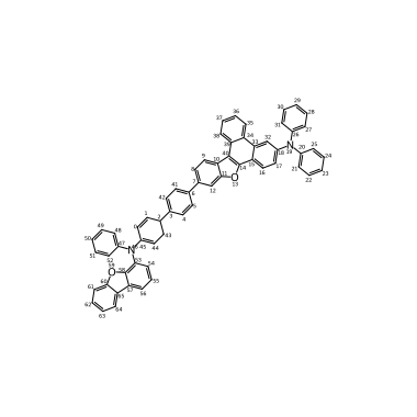 C1=CC(c2ccc(-c3ccc4c(c3)oc3c5ccc(N(c6ccccc6)c6ccccc6)cc5c5ccccc5c43)cc2)CC=C1N(c1ccccc1)c1cccc2c1oc1ccccc12